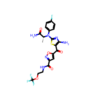 C[C@H](C(N)=O)N(c1ccc(F)cc1)c1nc(N)c(C(=O)c2cc(C(=O)NCCOC(F)(F)F)no2)s1